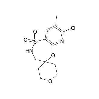 Cc1cc2c(nc1Cl)OC1(CCOCC1)CNS2(=O)=O